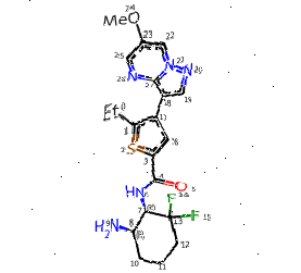 CCc1sc(C(=O)N[C@@H]2[C@H](N)CCCC2(F)F)cc1-c1cnn2cc(OC)cnc12